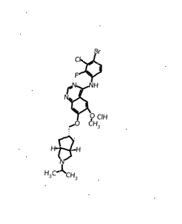 COc1cc2c(Nc3ccc(Br)c(Cl)c3F)ncnc2cc1OC[C@@H]1C[C@@H]2CN(C(C)C)C[C@@H]2C1.Cl